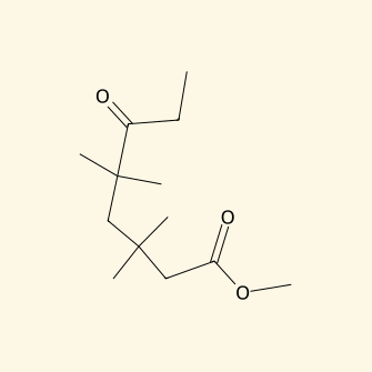 CCC(=O)C(C)(C)CC(C)(C)CC(=O)OC